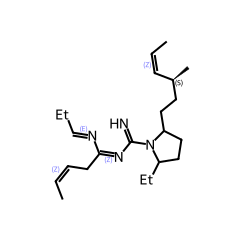 C/C=C\CC(=N/C(=N)N1C(CC)CCC1CC[C@H](C)/C=C\C)/N=C/CC